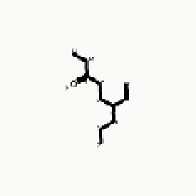 CCCC(CC)CCC(=O)CC